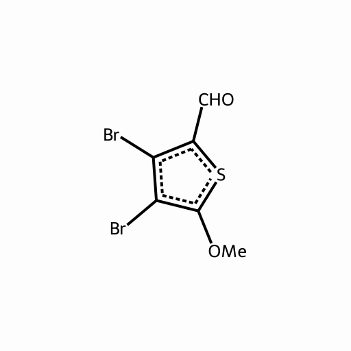 COc1sc(C=O)c(Br)c1Br